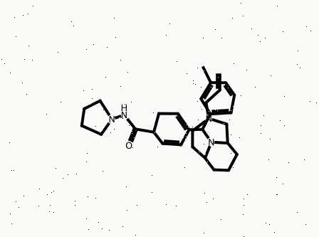 C=CCN1CCC2CCCC(C1)N2C(C1=CCC(C(=O)NN2CCCC2)C=C1)c1cccc(C)c1